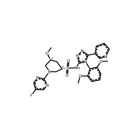 COc1cccc(OC)c1-n1c(NS(=O)(=O)[C@H]2C[C@H](OC)CN(c3ncc(F)cn3)C2)nnc1-c1cccnc1